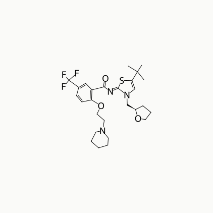 CC(C)(C)c1cn(C[C@H]2CCCO2)/c(=N/C(=O)c2cc(C(F)(F)F)ccc2OCCN2CCCCC2)s1